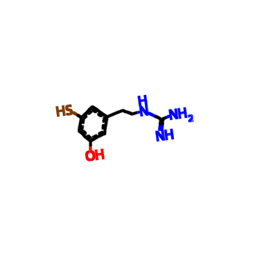 N=C(N)NCCc1cc(O)cc(S)c1